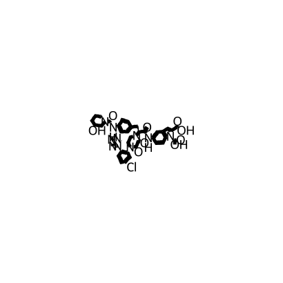 O=C(O)c1cc2cc(NC(=O)[C@H](Cc3ccc(NC(=O)N4CCC[C@H](O)C4)cc3)N3CCN(c4cc(Cl)ccc4-n4cnnn4)C(=O)C3=O)ccc2n1C(=O)O